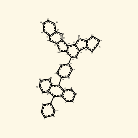 c1ccc(-c2c3ccccc3c(-c3ccc(-c4cc5c6ccccc6sc5c5c4sc4cc6ccccc6cc45)cc3)c3ccccc23)cc1